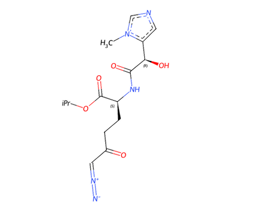 CC(C)OC(=O)[C@H](CCC(=O)C=[N+]=[N-])NC(=O)[C@H](O)c1cncn1C